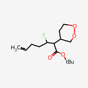 C=CCCC(F)C(C(=O)OC(C)(C)C)C1CCOOC1